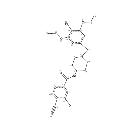 CCOc1cc(CN2CCC(NC(=O)c3cnc(C#N)c(C)c3)CC2)cc(OCC)c1Cl